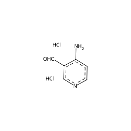 Cl.Cl.Nc1ccncc1C=O